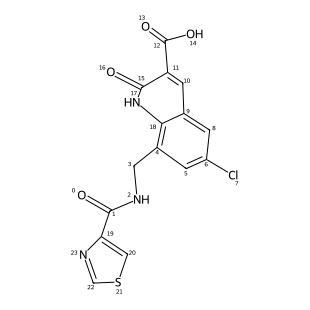 O=C(NCc1cc(Cl)cc2cc(C(=O)O)c(=O)[nH]c12)c1cscn1